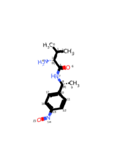 CC(C)[C@@H](N)C(=O)N[C@H](C)c1ccc(N=O)cc1